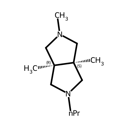 CCCN1C[C@]2(C)CN(C)C[C@]2(C)C1